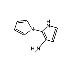 Nc1cc[nH]c1-n1cccc1